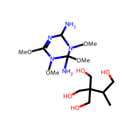 CC(CO)C(CO)(CO)CO.COC1=NC(N)N(OC)C(N)(OC)N1OC